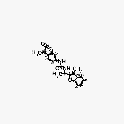 Cc1c([C@@H](C)NC(=O)Nc2ccc3c(c2)oc(=O)n3C)oc2ccccc12